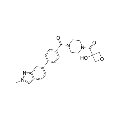 Cn1cc2ccc(-c3ccc(C(=O)N4CCN(C(=O)C5(O)COC5)CC4)cc3)cc2n1